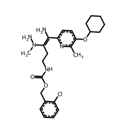 Cc1nc(/C(N)=C(\CCNC(=O)OCc2ccccc2Cl)N(C)N)ccc1OC1CCCCC1